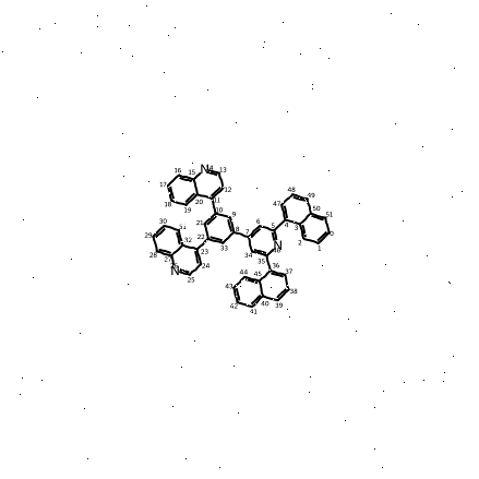 c1ccc2c(-c3cc(-c4cc(-c5ccnc6ccccc56)cc(-c5ccnc6ccccc56)c4)cc(-c4cccc5ccccc45)n3)cccc2c1